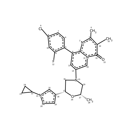 Cc1nc2c(-c3ccc(Cl)cc3F)cc(N3C[C@@H](c4cnn(C5CC5)c4)O[C@@H](C)C3)cn2c(=O)c1C